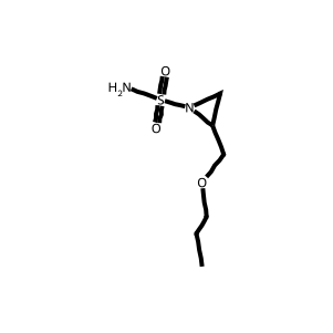 CCCOCC1CN1S(N)(=O)=O